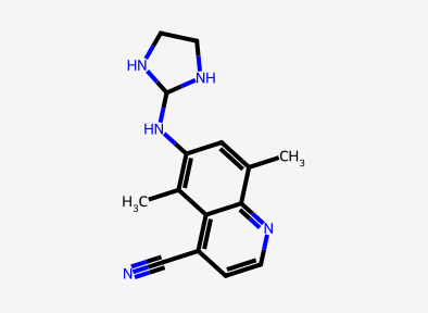 Cc1cc(NC2NCCN2)c(C)c2c(C#N)ccnc12